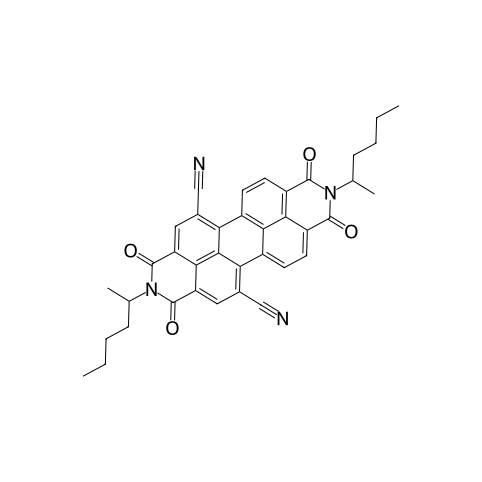 CCCCC(C)N1C(=O)c2ccc3c4c(C#N)cc5c6c(cc(C#N)c(c7ccc(c2c37)C1=O)c64)C(=O)N(C(C)CCCC)C5=O